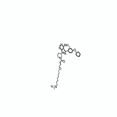 NCCCCCCCCOC/C=C/C(=O)N1CCC[C@@H](n2nc(-c3ccc(Oc4ccccc4)cc3)c3c(N)ncnc32)C1